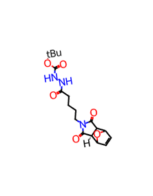 CC(C)(C)OC(=O)NNC(=O)CCCCN1C(=O)C2C3C=CC(O3)[C@H]2C1=O